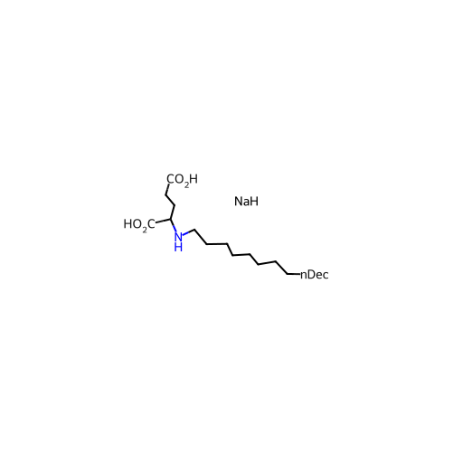 CCCCCCCCCCCCCCCCCCNC(CCC(=O)O)C(=O)O.[NaH]